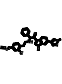 Cn1cc(-c2ccc3c(C(=O)C(NCCc4ccc(C(=O)O)cc4Cl)c4ccccc4)c[nH]c3c2)cn1